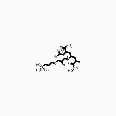 CCC(CC(CC(CC(C)C(=O)NO)NCC(O)COCCC[Si](O)(O)O)C(N)=O)C(=O)O